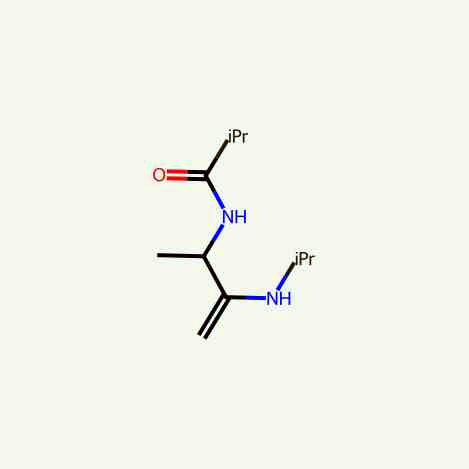 C=C(NC(C)C)C(C)NC(=O)C(C)C